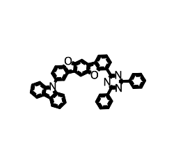 c1ccc(-c2nc(-c3ccccc3)nc(-c3cccc4c3oc3cc5c(cc34)oc3ccc(-n4c6ccccc6c6ccccc64)cc35)n2)cc1